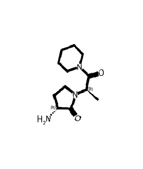 C[C@H](C(=O)N1CCCCC1)N1CC[C@@H](N)C1=O